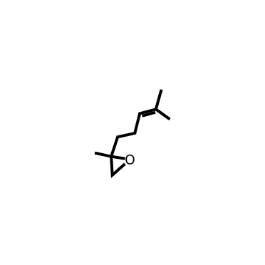 CC(C)=CCCC1(C)CO1